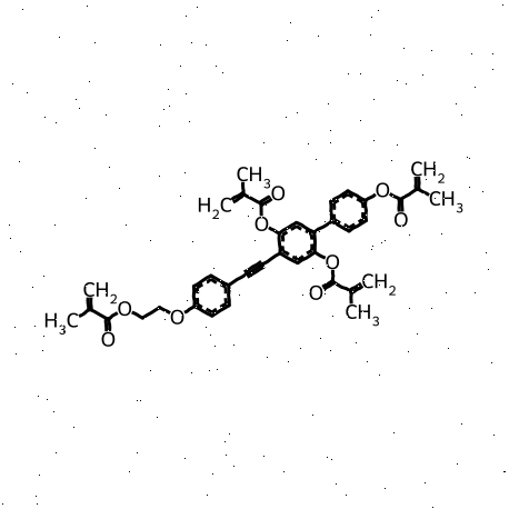 C=C(C)C(=O)OCCOc1ccc(C#Cc2cc(OC(=O)C(=C)C)c(-c3ccc(OC(=O)C(=C)C)cc3)cc2OC(=O)C(=C)C)cc1